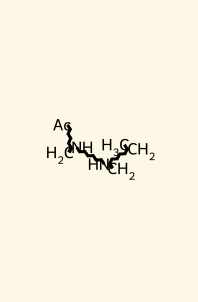 C=C(C)CCCCC(=C)NCCCCCCNC(=C)CCCCC(C)=O